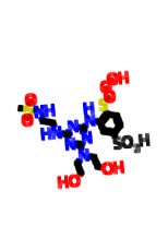 CS(=O)(=O)NCCNc1nc(Nc2cc(S(=O)(=O)O)ccc2SOOO)nc(N(CCO)CCO)n1